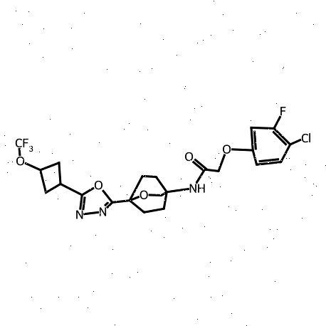 O=C(COc1ccc(Cl)c(F)c1)NC12CCC(c3nnc(C4CC(OC(F)(F)F)C4)o3)(CC1)OC2